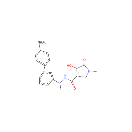 CC(=O)Nc1ccc(-c2cccc(C(C)NC(=O)C3=C(O)C(=O)N(C)C3)c2)cc1